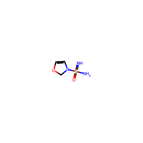 N=S(N)(=O)N1C=COC1